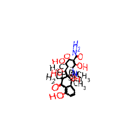 C=C1C(=O)c2c(O)cccc2[C@@](C)(O)[C@@]1(C)[C@H](O)[C@H]1[C@H](N(C)C)C(O)=C(C(N)=O)C(=O)[C@]1(C)O